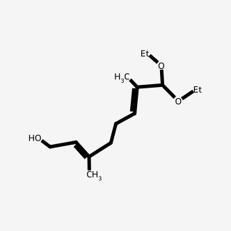 CCOC(OCC)C(C)=CCCC(C)=CCO